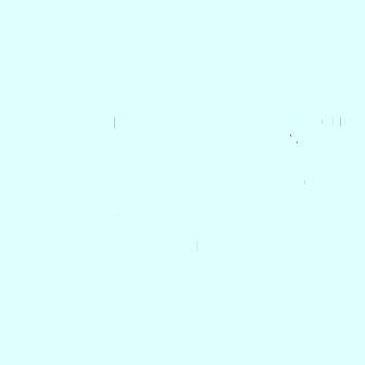 O=CN(O)Cc1cc(Cl)c(OC2CCCCC2)c(Cl)c1